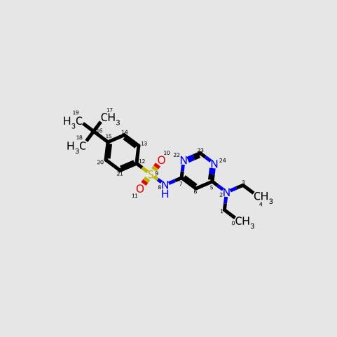 CCN(CC)c1cc(NS(=O)(=O)c2ccc(C(C)(C)C)cc2)ncn1